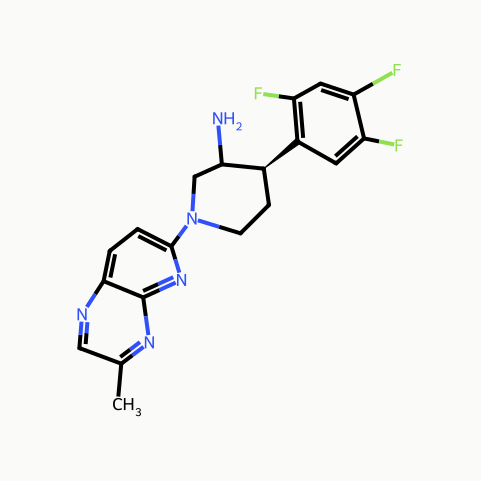 Cc1cnc2ccc(N3CC[C@H](c4cc(F)c(F)cc4F)C(N)C3)nc2n1